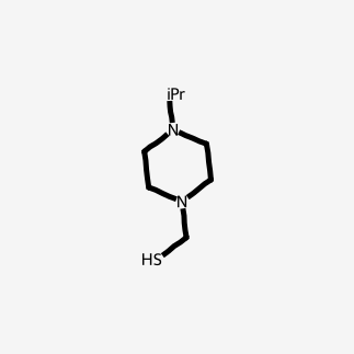 CC(C)N1CCN(CS)CC1